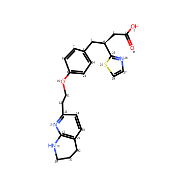 O=C(O)C[C@H](Cc1ccc(OCCc2ccc3c(n2)NCCC3)cc1)c1nccs1